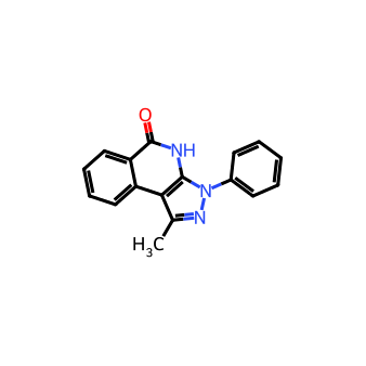 Cc1nn(-c2ccccc2)c2[nH]c(=O)c3ccccc3c12